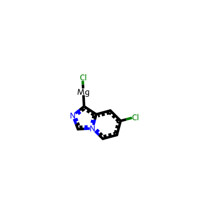 [Cl][Mg][c]1ncn2ccc(Cl)cc12